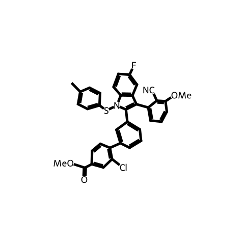 COC(=O)c1ccc(-c2cccc(-c3c(-c4cccc(OC)c4C#N)c4cc(F)ccc4n3Sc3ccc(C)cc3)c2)c(Cl)c1